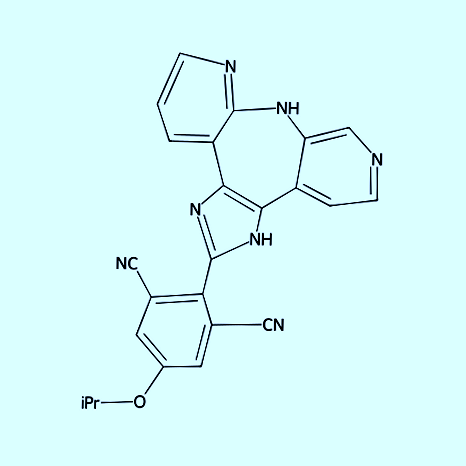 CC(C)Oc1cc(C#N)c(-c2nc3c([nH]2)-c2ccncc2Nc2ncccc2-3)c(C#N)c1